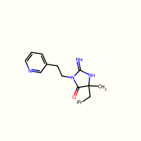 CC(C)CC1(C)NC(=N)N(CCc2cccnc2)C1=O